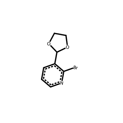 Brc1ncccc1C1OCCO1